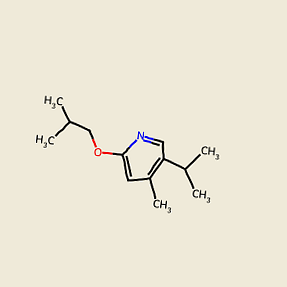 Cc1cc(OCC(C)C)ncc1C(C)C